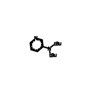 CC(C)(C)N(c1cccnc1)C(C)(C)C